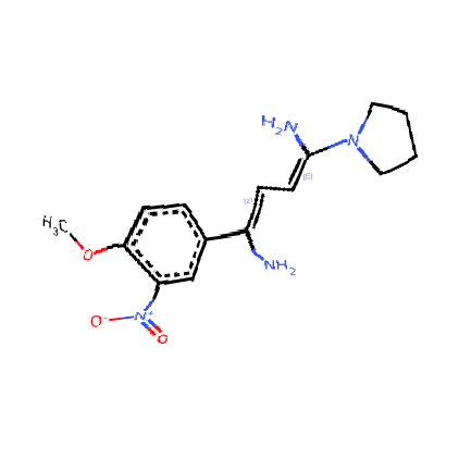 COc1ccc(/C(N)=C/C=C(\N)N2CCCC2)cc1[N+](=O)[O-]